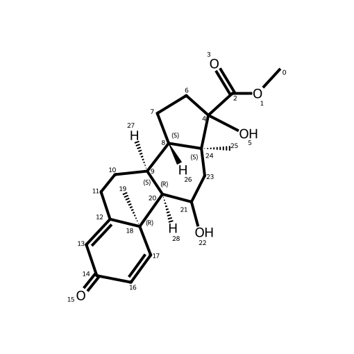 COC(=O)C1(O)CC[C@H]2[C@@H]3CCC4=CC(=O)C=C[C@]4(C)[C@@H]3C(O)C[C@@]21C